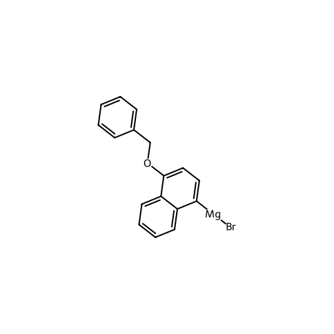 [Br][Mg][c]1ccc(OCc2ccccc2)c2ccccc12